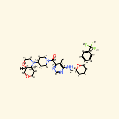 Cc1c(NC[C@H]2CCC[C@@H](c3ccc(C(F)(F)F)cc3)O2)ncnc1C(=O)N1CCC(N2CCO[C@H]3COCC[C@H]32)CC1